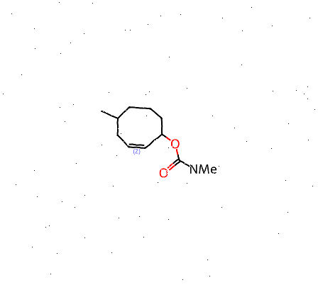 CNC(=O)OC1/C=C\CC(C)CCC1